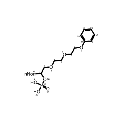 CCCCCCCCCC(COCCOCCOc1ccccc1)OP(=O)(O)O